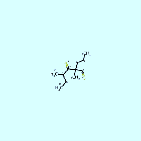 CCCC(C)([C]=S)C(=S)C(C)CC